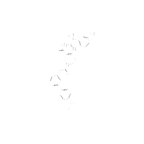 O=C(Cc1cccc(-c2ccc(OC(F)(F)F)cc2)c1)N1CCc2nc(C3(c4cccc(Cl)c4)CC3)[nH]c(=O)c2C1